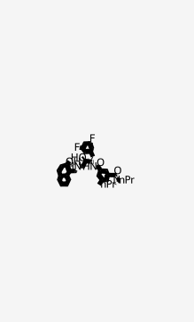 CCCN(CCC)C(=O)c1cc(C)cc(C(=O)N[C@@H](Cc2cc(F)cc(F)c2)[C@H](O)CNCc2c(O)ccc3ccccc23)c1